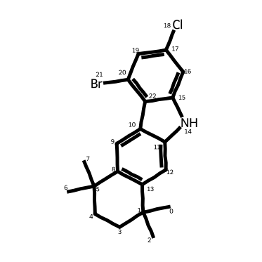 CC1(C)CCC(C)(C)c2cc3c(cc21)[nH]c1cc(Cl)cc(Br)c13